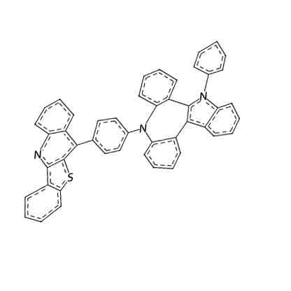 c1ccc(-n2c3c(c4ccccc42)-c2ccccc2N(c2ccc(-c4c5ccccc5nc5c4sc4ccccc45)cc2)c2ccccc2-3)cc1